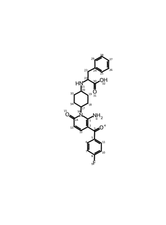 Nc1c(C(=O)c2ccc(F)cc2)ccc(=O)n1C1CCC(NC(Cc2ccccc2)C(=O)O)CC1